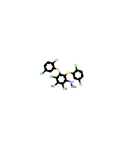 CCCCNc1c(C#N)c(C#N)c(Cl)c(Sc2cc(Cl)ccc2Cl)c1Sc1cc(Cl)ccc1Cl